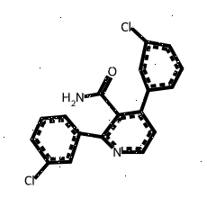 NC(=O)c1c(-c2cccc(Cl)c2)ccnc1-c1cccc(Cl)c1